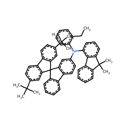 CCc1ccccc1N(c1ccc2c(c1)C1(c3ccccc3-2)c2cc(C(C)(C)C)ccc2-c2ccc(C(C)(C)C)cc21)c1cccc2c1-c1ccccc1C2(C)C